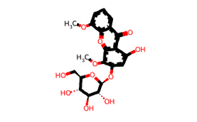 COc1cccc2c(=O)c3c(O)cc(O[C@@H]4O[C@H](CO)[C@@H](O)[C@H](O)[C@H]4O)c(OC)c3oc12